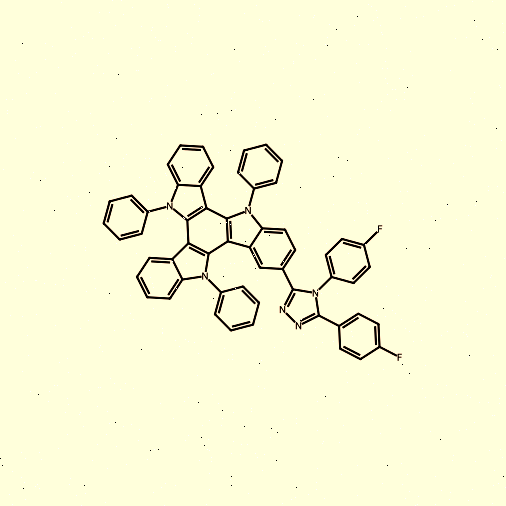 Fc1ccc(-c2nnc(-c3ccc4c(c3)c3c5c(c6ccccc6n5-c5ccccc5)c5c(c6ccccc6n5-c5ccccc5)c3n4-c3ccccc3)n2-c2ccc(F)cc2)cc1